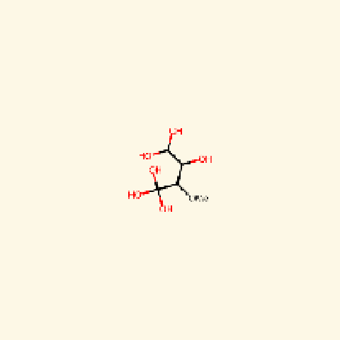 COC(C(O)C(O)O)C(O)(O)O